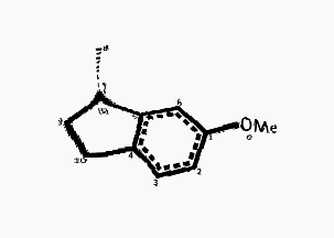 COc1ccc2c(c1)[C@@H](C)CC2